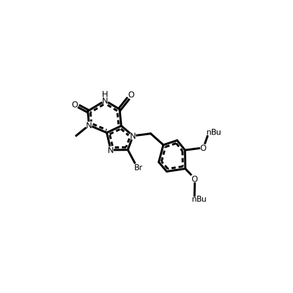 CCCCOc1ccc(Cn2c(Br)nc3c2c(=O)[nH]c(=O)n3C)cc1OCCCC